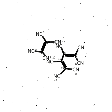 N#CC(C#N)=C(C#N)C#N.N#CC(C#N)=C(C#N)C(C#N)=C(C#N)C#N